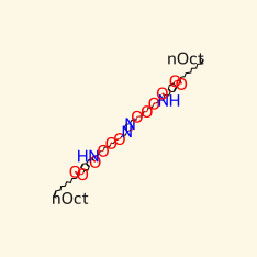 CCCCCCCC/C=C\CCCCCCCC(=O)Oc1ccc(CC(=O)NCCOCCOCCOCCN2CCN(CCOCCOCCOCCNC(=O)Cc3ccc(OC(=O)CCCCCCC/C=C\CCCCCCCC)cc3)CC2)cc1